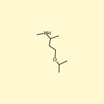 CNC(C)CCOC(C)C